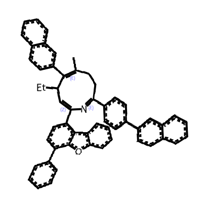 CCC1/C=C(c2ccc(-c3ccccc3)c3oc4ccccc4c23)\N=C(\c2ccc(-c3ccc4ccccc4c3)cc2)CC/C(C)=C\1c1ccc2ccccc2c1